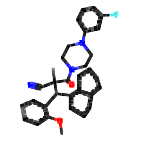 COc1ccccc1C(c1cccc2ccccc12)C(C)(C#N)C(=O)N1CCN(c2cccc(F)c2)CC1